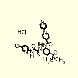 CN(C)C(=O)[C@H]1CC[C@H](NC(=S)C(=O)Nc2ccc(Cl)cn2)[C@H](NC(=O)C2CCN(c3ccncc3)CC2)C1.Cl